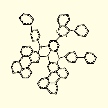 c1ccc(-c2ccc(N3c4cc(-c5nc(-c6ccccc6)c6ccccc6n5)cc5c4B(c4cc6c7cccc8cccc(c9cccc(c43)c96)c87)c3cc4c6cccc7cccc(c8cccc(c3N5c3ccc(-c5ccccc5)cc3)c84)c76)cc2)cc1